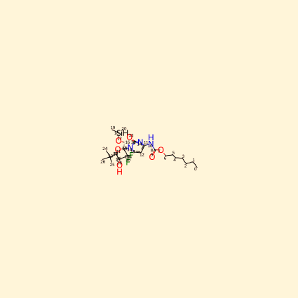 CCCCCCCOC(=O)Nc1ccn([C@]2(CO[SiH](C)C)O[C@H](C(C)(C)C)[C@@H](O)C2(F)F)c(=O)n1